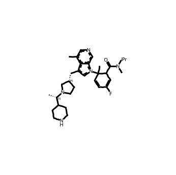 Cc1cncc2c1c(C[C@@H]1CCN([C@@H](C)C3CCNCC3)C1)cn2C1(C)C=CC(F)=CC1C(=O)N(C)C(C)C